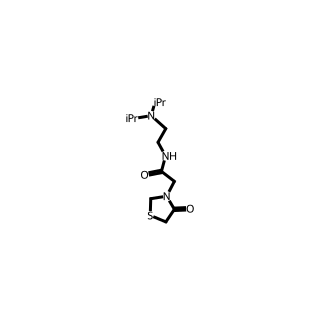 CC(C)N(CCNC(=O)CN1CSCC1=O)C(C)C